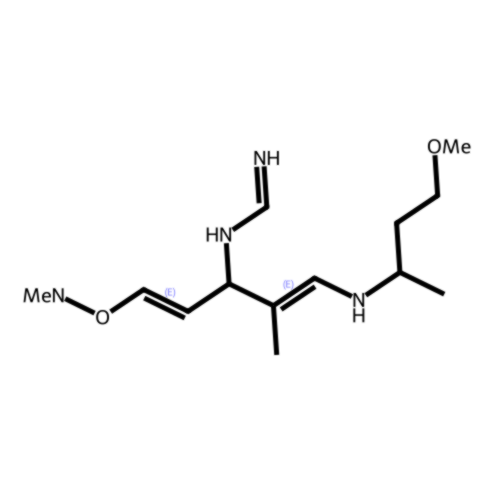 CNO/C=C/C(NC=N)/C(C)=C/NC(C)CCOC